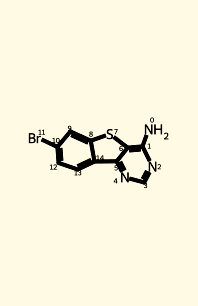 Nc1ncnc2c1sc1cc(Br)ccc12